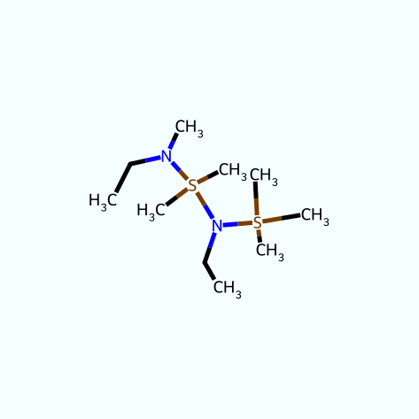 CCN(C)S(C)(C)N(CC)S(C)(C)C